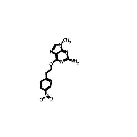 Cn1cnc2c(OCCc3ccc([N+](=O)[O-])cc3)nc(N)nc21